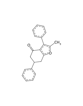 Cc1oc2c(c1-c1ccccc1)C(=O)CC(c1ccccc1)C2